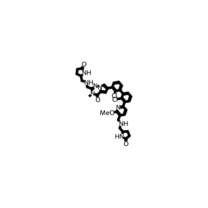 COc1nc(-c2cccc(-c3cccc(-c4cc5c(=O)n(C)c(CNCC6CCC(=O)N6)nn5c4)c3Cl)c2Cl)ccc1CNCC1CCC(=O)N1